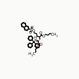 CCCCOC(=O)C(CCCOS(=O)(=O)c1ccc2ccccc2c1)C[C@@H](NC(c1ccccc1)(c1ccccc1)c1ccccc1)C(=O)OCCCC